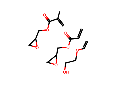 C=C(C)C(=O)OCC1CO1.C=CC(=O)OCC1CO1.C=COCCO